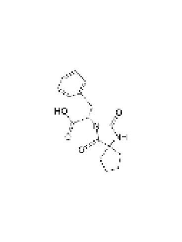 O=C(O)[C@H](Cc1ccccc1)N1C(=O)NC2(CCCC2)C1=O